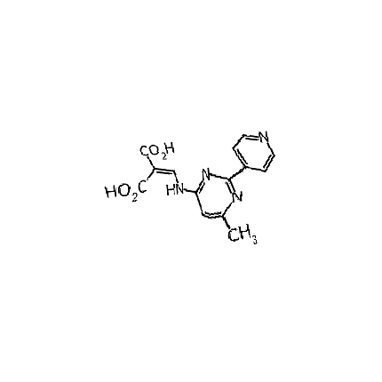 Cc1cc(NC=C(C(=O)O)C(=O)O)nc(-c2ccncc2)n1